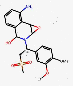 CCOc1cc([C@@H](CS(C)(=O)=O)N2C(O)c3cccc(N)c3C3OC32)ccc1OC